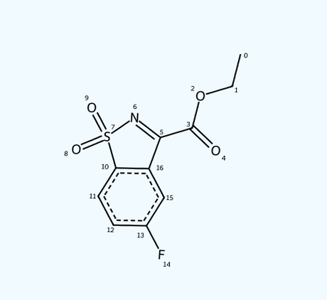 CCOC(=O)C1=NS(=O)(=O)c2ccc(F)cc21